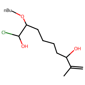 C=C(C)C(O)CCCCC(OCCCC)C(O)Cl